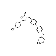 O=C1O[C@H](c2ccc(Cl)cc2)CN1Cc1ccc(-c2ccc(CN3CCNCC3)cc2)cc1